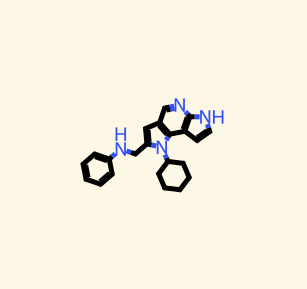 c1ccc(NCc2cc3cnc4[nH]ccc4c3n2C2CCCCC2)cc1